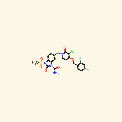 CS(=O)(=O)n1c(=O)n(C(N)=O)c2cc(Cn3ccc(OCc4ccc(F)cc4F)c(Cl)c3=O)ccc21